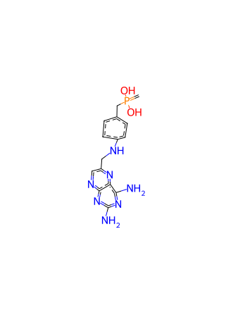 C=P(O)(O)Cc1ccc(NCc2cnc3nc(N)nc(N)c3n2)cc1